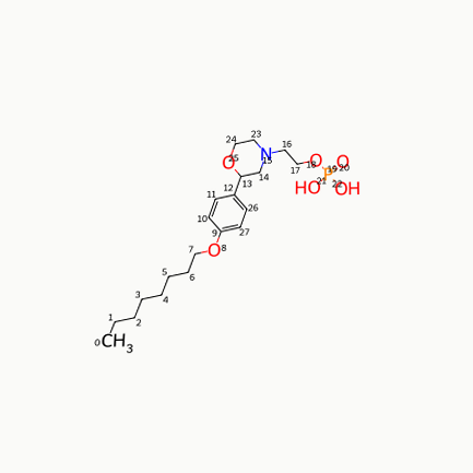 CCCCCCCCOc1ccc(C2CN(CCOP(=O)(O)O)CCO2)cc1